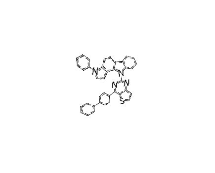 c1ccc(-c2ccc(-c3nc(-n4c5ccccc5c5ccc6c(ccn6-c6ccccc6)c54)nc4ccsc34)cc2)cc1